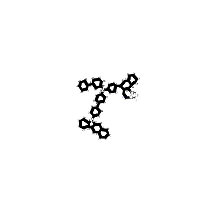 C/C=C\c1c(-c2ccc(N(c3ccc(-c4ccc(-n5c6ccccc6c6cc7ccccc7cc65)cc4)cc3)c3cccc(-c4ccccc4)c3)cc2)cc2ccccc2c1C